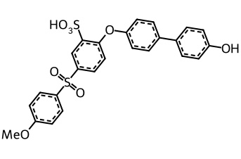 COc1ccc(S(=O)(=O)c2ccc(Oc3ccc(-c4ccc(O)cc4)cc3)c(S(=O)(=O)O)c2)cc1